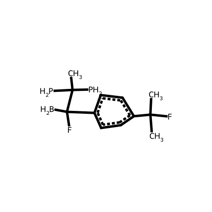 BC(F)(c1ccc(C(C)(C)F)cc1)C(C)(P)P